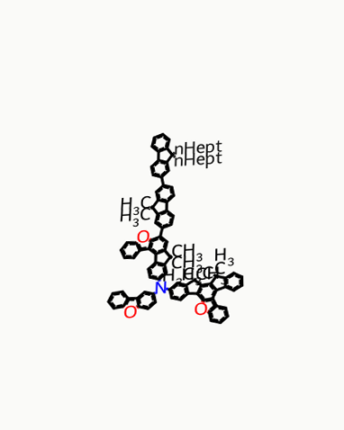 CCCCCCCC1(CCCCCCC)c2ccccc2-c2ccc(-c3ccc4c(c3)C(C)(C)c3cc(-c5cc6c(c7c5oc5ccccc57)-c5ccc(N(c7ccc8c(c7)C(C)(C)c7c9c(c%10c(oc%11ccccc%11%10)c7-8)-c7ccccc7C9(C)C)c7ccc8oc9ccccc9c8c7)cc5C6(C)C)ccc3-4)cc21